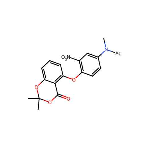 CC(=O)N(C)c1ccc(Oc2cccc3c2C(=O)OC(C)(C)O3)c([N+](=O)[O-])c1